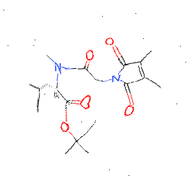 CC1=C(C)C(=O)N(CC(=O)N(C)[C@H](C(=O)OC(C)(C)C)C(C)C)C1=O